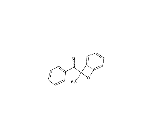 CC1(C(=O)c2ccccc2)Oc2ccccc21